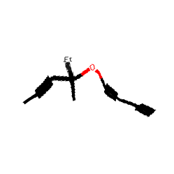 C#CC#COC(C)(C#CC)CC